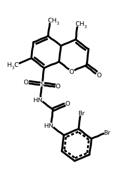 CC1=CC(=O)OC2C(S(=O)(=O)NC(=O)Nc3cccc(Br)c3Br)=C(C)C=C(C)C12